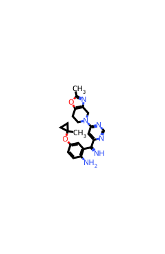 Cc1nc2c(o1)CCN(c1cc(C(=N)c3cc(OC4(C)CC4)ccc3N)ncn1)C2